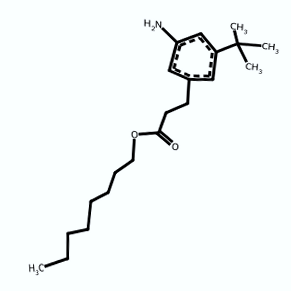 CCCCCCCCOC(=O)CCc1cc(N)cc(C(C)(C)C)c1